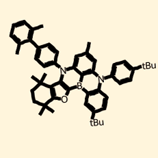 Cc1cc2c3c(c1)N(c1ccc(-c4c(C)cccc4C)cc1)c1c(oc4c1C(C)(C)CCC4(C)C)B3c1cc(C(C)(C)C)ccc1N2c1ccc(C(C)(C)C)cc1